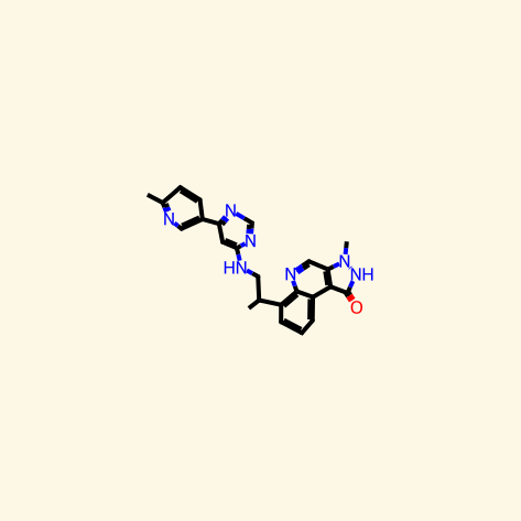 Cc1ccc(-c2cc(NCC(C)c3cccc4c3ncc3c4c(=O)[nH]n3C)ncn2)cn1